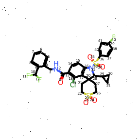 O=C(NCc1ccccc1C(F)F)c1ccc2c(c1Cl)C1(CCS(=O)(=O)CC1)C(C1CC1)N2S(=O)(=O)c1ccc(F)cc1